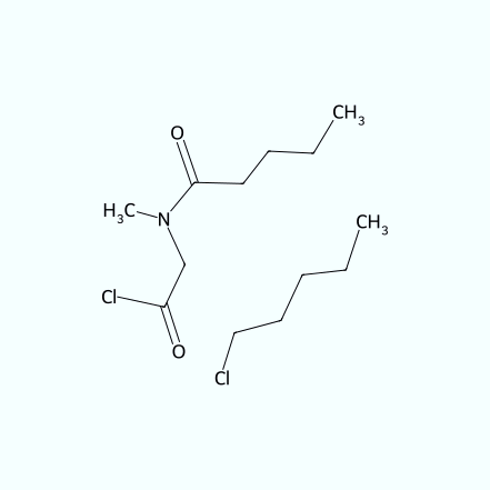 CCCCC(=O)N(C)CC(=O)Cl.CCCCCCl